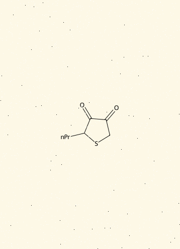 CCCC1SCC(=O)C1=O